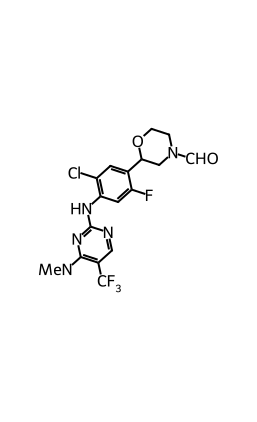 CNc1nc(Nc2cc(F)c(C3CN(C=O)CCO3)cc2Cl)ncc1C(F)(F)F